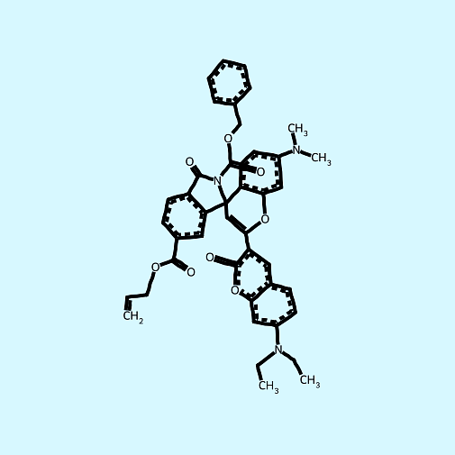 C=CCOC(=O)c1ccc2c(c1)C1(C=C(c3cc4ccc(N(CC)CC)cc4oc3=O)Oc3cc(N(C)C)ccc31)N(C(=O)OCc1ccccc1)C2=O